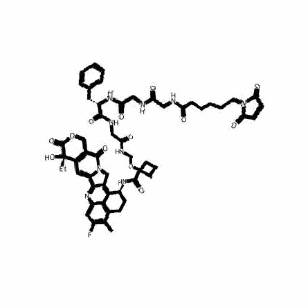 CC[C@@]1(O)C(=O)OCc2c1cc1n(c2=O)Cc2c-1nc1cc(F)c(C)c3c1c2[C@@H](NC(=O)C1(OCNC(=O)CNC(=O)[C@H](Cc2ccccc2)NC(=O)CNC(=O)CNC(=O)CCCCCN2C(=O)C=CC2=O)CCC1)CC3